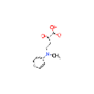 CN(CCC(=O)C(=O)O)c1ccccc1